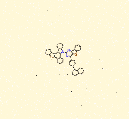 c1ccc2c(-c3ccc(-c4nc(-n5c6ccccc6c6c7c8ccccc8sc7c7ccccc7c65)nc5c4sc4ccccc45)cc3)cccc2c1